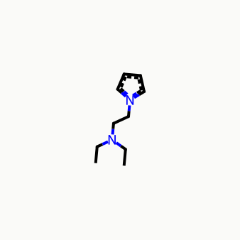 CCN(CC)CCn1cccc1